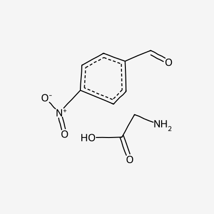 NCC(=O)O.O=Cc1ccc([N+](=O)[O-])cc1